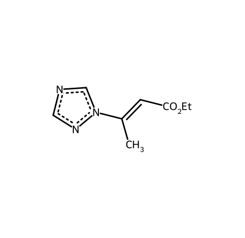 CCOC(=O)C=C(C)n1cncn1